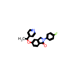 CC(Oc1ccc2c(c1)CN(c1ccc(F)cc1)C2=O)c1ccncc1